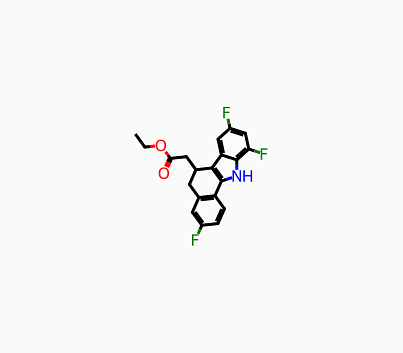 CCOC(=O)CC1Cc2cc(F)ccc2-c2[nH]c3c(F)cc(F)cc3c21